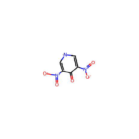 O=C1C([N+](=O)[O-])=C[N]C=C1[N+](=O)[O-]